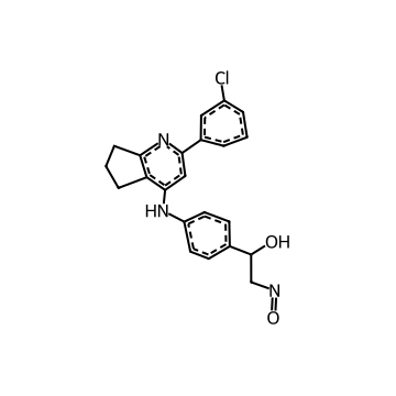 O=NCC(O)c1ccc(Nc2cc(-c3cccc(Cl)c3)nc3c2CCC3)cc1